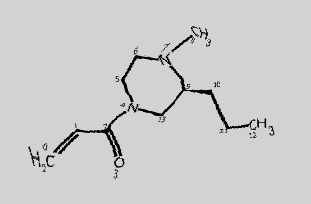 C=CC(=O)N1CCN(C)[C@@H](CCC)C1